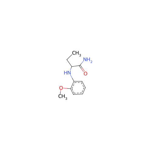 CCC(Nc1ccccc1OC)C(N)=O